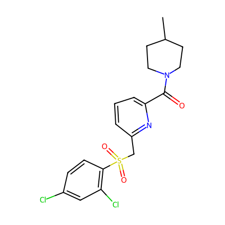 CC1CCN(C(=O)c2cccc(CS(=O)(=O)c3ccc(Cl)cc3Cl)n2)CC1